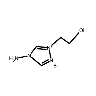 Nn1cn[n+](CCO)c1.[Br-]